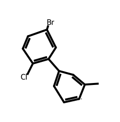 Cc1[c]ccc(-c2cc(Br)ccc2Cl)c1